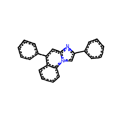 c1ccc(-c2cn3c(cc(-c4ccccc4)c4ccccc43)n2)cc1